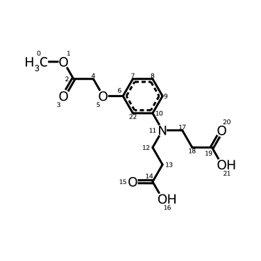 COC(=O)COc1cccc(N(CCC(=O)O)CCC(=O)O)c1